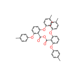 Cc1ccc(Oc2cccc(Oc3ccc(C)cc3)c2C(=O)OC(=O)c2c(Oc3ccc(C)cc3)cccc2Oc2ccc(C)cc2)cc1